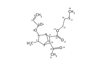 C=CC(=O)OC1C(C)C2CC1C(C(=O)OCCSC)C2C(C)=O